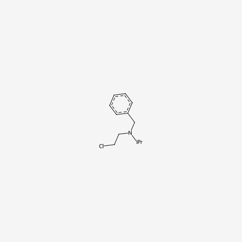 CC(C)N(CCCl)Cc1ccccc1